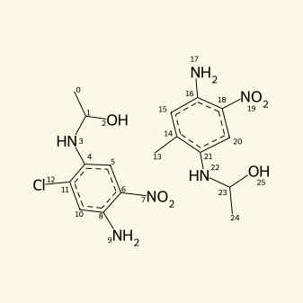 CC(O)Nc1cc([N+](=O)[O-])c(N)cc1Cl.Cc1cc(N)c([N+](=O)[O-])cc1NC(C)O